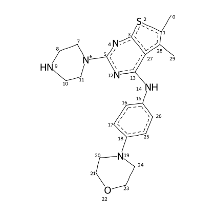 Cc1sc2nc(N3CCNCC3)nc(Nc3ccc(N4CCOCC4)cc3)c2c1C